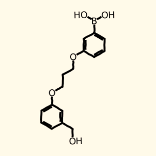 OCc1cccc(OCCCOc2cccc(B(O)O)c2)c1